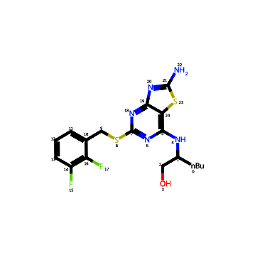 CCCCC(CO)Nc1nc(SCc2cccc(F)c2F)nc2nc(N)sc12